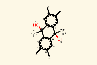 Cc1cc2c(cc1C)C(O)(C(F)(F)F)c1cc(C)c(C)cc1C2(O)C(F)(F)F